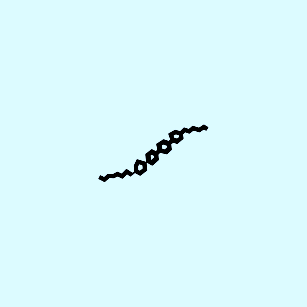 CCCCCCCC[C@H]1CC[C@H](c2ccc(-c3ccc(C4=CCC(CCCCCC)CC4)cc3)cc2)CC1